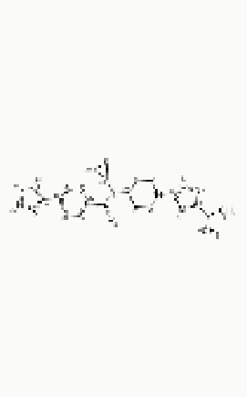 CC(C)c1noc(N2CCC(N(C(=O)c3ccc(-c4cnco4)cc3)C3CC3)CC2)n1